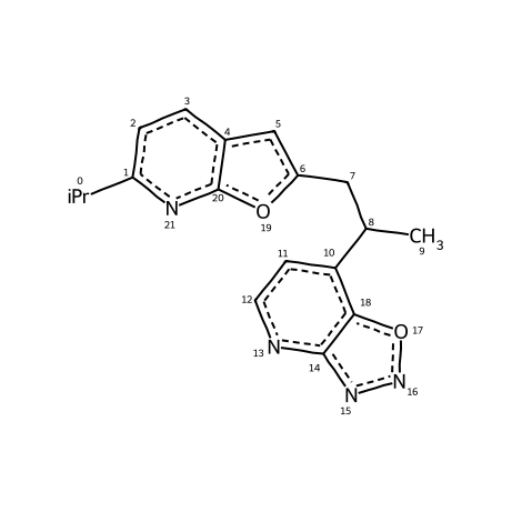 CC(C)c1ccc2cc(CC(C)c3ccnc4nnoc34)oc2n1